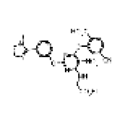 CCOC(=O)CNc1nc(Oc2cccc(C3=NCCN3C)c2)nc(Oc2cc(C#N)ccc2C(=O)O)c1[N+](=O)[O-]